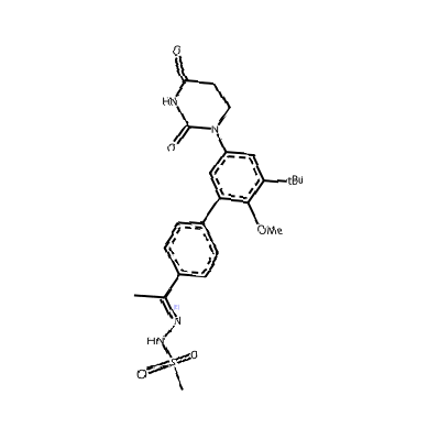 COc1c(-c2ccc(/C(C)=N/NS(C)(=O)=O)cc2)cc(N2CCC(=O)NC2=O)cc1C(C)(C)C